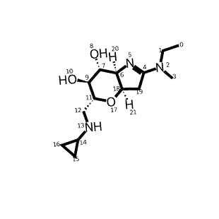 CCN(C)C1=N[C@@H]2[C@@H](O)[C@H](O)[C@@H](CNC3CC3)O[C@@H]2C1